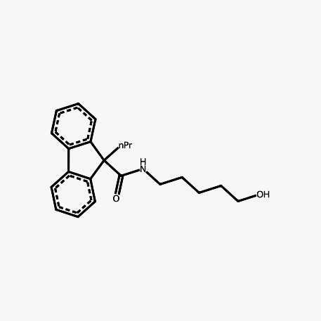 CCCC1(C(=O)NCCCCCO)c2ccccc2-c2ccccc21